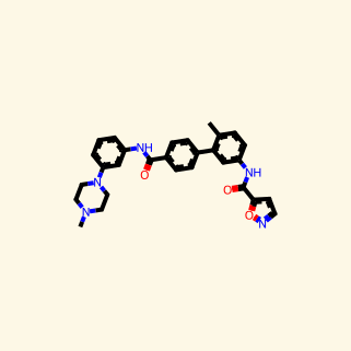 Cc1ccc(NC(=O)c2ccno2)cc1-c1ccc(C(=O)Nc2cccc(N3CCN(C)CC3)c2)cc1